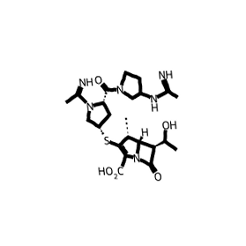 CC(=N)NC1CCN(C(=O)[C@@H]2C[C@H](SC3=C(C(=O)O)N4C(=O)[C@H](C(C)O)[C@H]4[C@H]3C)CN2C(C)=N)C1